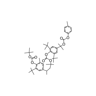 Cc1ccc(OC(=O)OC(C)(C)c2cc(C(C)(C)C)c(OC(=O)OC(C)(C)CC(C)c3cc(C)c(OC(=O)OC(C)(C)C)c(C(C)(C)C)c3)c(C(C)(C)C)c2)cc1